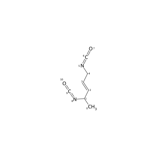 CC(C=CCN=C=O)N=C=O